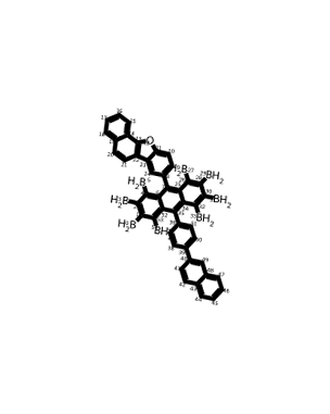 Bc1c(B)c(B)c2c(-c3ccc4oc5c6ccccc6ccc5c4c3)c3c(B)c(B)c(B)c(B)c3c(-c3ccc(-c4ccc5ccccc5c4)cc3)c2c1B